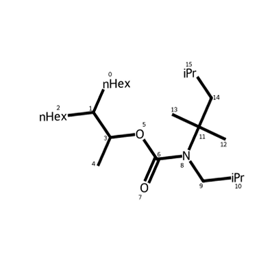 CCCCCCC(CCCCCC)C(C)OC(=O)N(CC(C)C)C(C)(C)CC(C)C